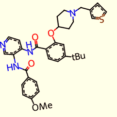 COc1ccc(C(=O)Nc2cnccc2NC(=O)c2ccc(C(C)(C)C)cc2OC2CCN(Cc3ccsc3)CC2)cc1